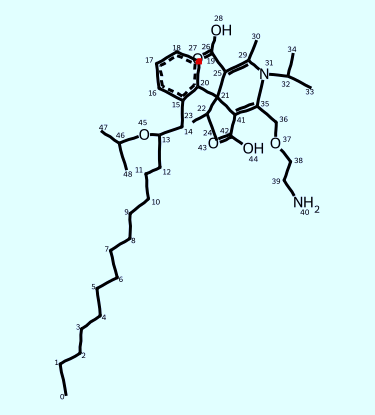 CCCCCCCCCCCCCC(Cc1ccccc1C1(C(C)C)C(C(=O)O)=C(C)N(C(C)C)C(COCCN)=C1C(=O)O)OC(C)C